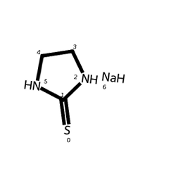 S=C1NCCN1.[NaH]